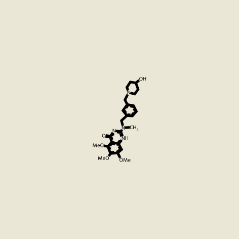 COc1cc2[nH]c(N(C)Cc3cccc(CN4CCC(O)CC4)c3)nc(=O)c2c(OC)c1OC